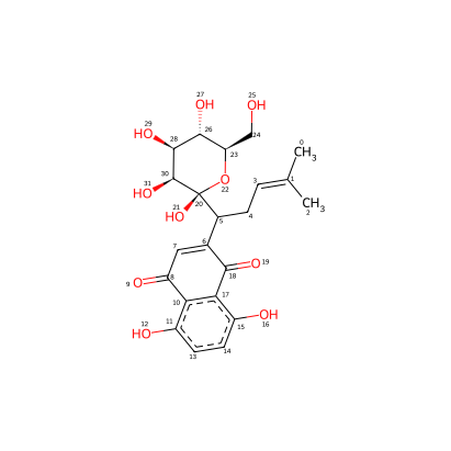 CC(C)=CCC(C1=CC(=O)c2c(O)ccc(O)c2C1=O)[C@@]1(O)O[C@H](CO)[C@@H](O)[C@H](O)[C@@H]1O